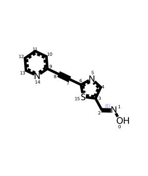 O/N=C/c1cnc(C#Cc2ccccn2)s1